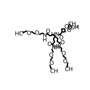 C#CCOCCOCCNC(=O)CCC(CCC(=O)NCCOCCOCC#C)(CCC(=O)NCCOCCOCC#C)NC(=O)C1CC(OP(C)(=O)O)C1